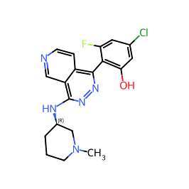 CN1CCC[C@@H](Nc2nnc(-c3c(O)cc(Cl)cc3F)c3ccncc23)C1